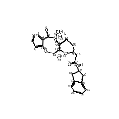 CN1C(=O)c2ccccc2OC[C@@H]2O[C@H](CC(=O)NC3Cc4ccccc4C3)CC[C@@H]21